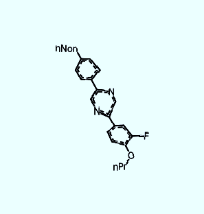 CCCCCCCCCc1ccc(-c2cnc(-c3ccc(OCCC)c(F)c3)cn2)cc1